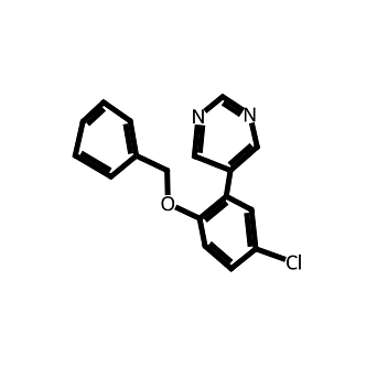 Clc1ccc(OCc2ccccc2)c(-c2cncnc2)c1